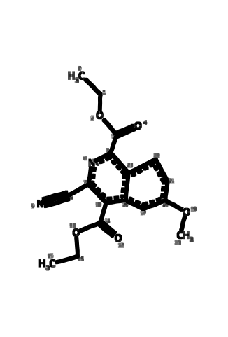 CCOC(=O)c1nc(C#N)c(C(=O)OCC)c2cc(OC)ccc12